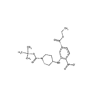 CCOC(=O)c1ccc([N+](=O)[O-])c(NC2CCN(C(=O)OC(C)(C)C)CC2)c1